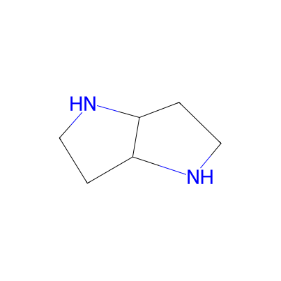 C1CC2NCCC2N1